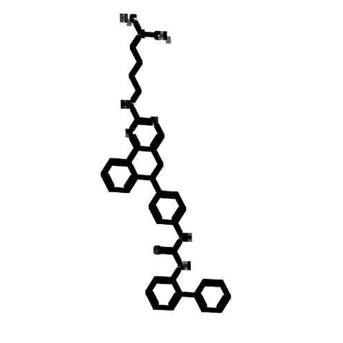 CN(C)CCCCNc1ncc2c(n1)-c1ccccc1C(c1ccc(NC(=O)Nc3ccccc3-c3ccccc3)cc1)C2